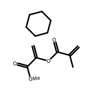 C=C(C)C(=O)OC(=C)C(=O)OC.[CH]1CCCCC1